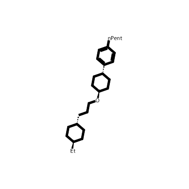 CCCCCc1ccc([C@H]2CC[C@H](OCCC[C@H]3CC[C@H](CC)CC3)CC2)cc1